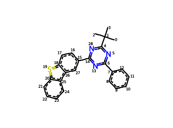 CC(C)(C)c1nc(-c2ccccc2)nc(-c2ccc3sc4ccccc4c3c2)n1